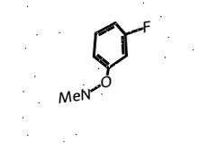 CNOc1cccc(F)c1